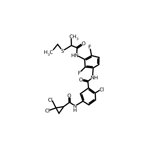 CCSC(C)C(=O)Nc1c(F)ccc(NC(=O)c2cc(NC(=O)C3CC3(Cl)Cl)ccc2Cl)c1F